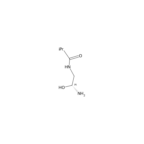 CC(C)C(=O)NC[C@H](N)O